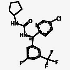 O=C(NC1CCCC1)N[C@H](c1cc(F)cc(C(F)(F)F)c1)c1ccc(Cl)cn1